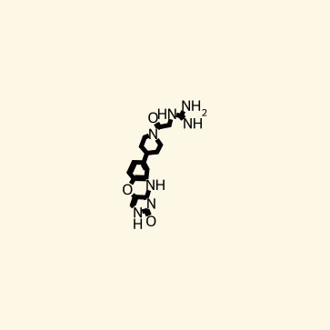 N=C(N)NCC(=O)N1CCC(c2ccc3c(c2)Nc2nc(=O)[nH]cc2O3)CC1